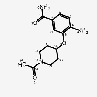 NC(=O)c1ccc(N)c(OC2CCN(C(=O)O)CC2)c1